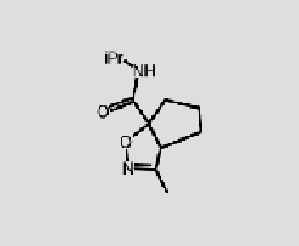 CC1=NOC2(C(=O)NC(C)C)CCCC12